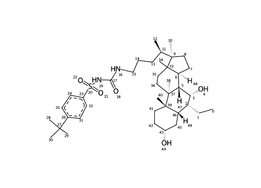 CC[C@H]1[C@@H](O)[C@H]2[C@@H]3CC[C@](C)([C@H](C)CCCNC(=O)NS(=O)(=O)c4ccc(C(C)(C)C)cc4)C3(C)CC[C@]2(C)[C@@]2(C)CC[C@@H](O)C[C@@H]12